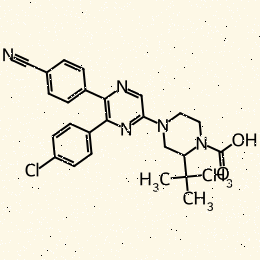 CC(C)(C)C1CN(c2cnc(-c3ccc(C#N)cc3)c(-c3ccc(Cl)cc3)n2)CCN1C(=O)O